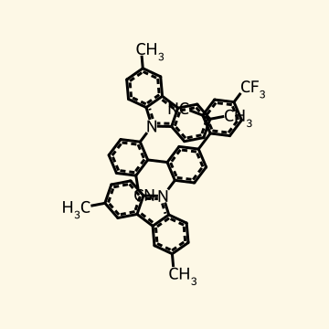 Cc1ccc2c(c1)c1cc(C)ccc1n2-c1ccc(-c2ccc(C(F)(F)F)cc2C#N)cc1-c1c(C#N)cccc1-n1c2ccc(C)cc2c2cc(C)ccc21